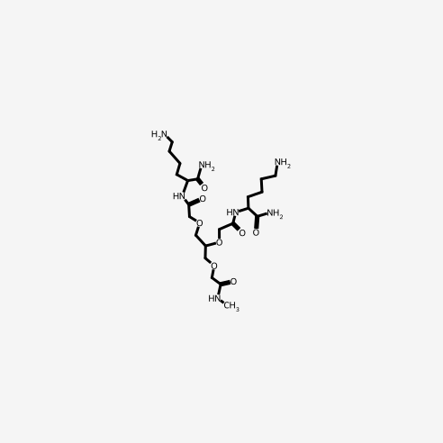 CNC(=O)COCC(COCC(=O)NC(CCCCN)C(N)=O)OCC(=O)NC(CCCCN)C(N)=O